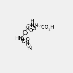 CN1CCN(C(=O)ON2NC2c2ccc(N3CC[C@H](NC(=O)NCCC(=O)O)C3=O)cc2)CC1